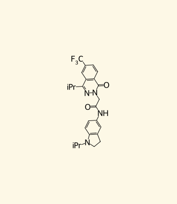 CC(C)c1nn(CC(=O)Nc2ccc3c(c2)CCN3C(C)C)c(=O)c2ccc(C(F)(F)F)cc12